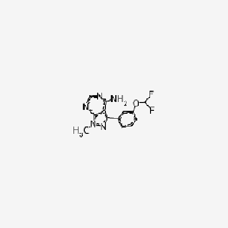 Cn1nc(-c2cccc(OC(F)F)c2)c2c(N)ncnc21